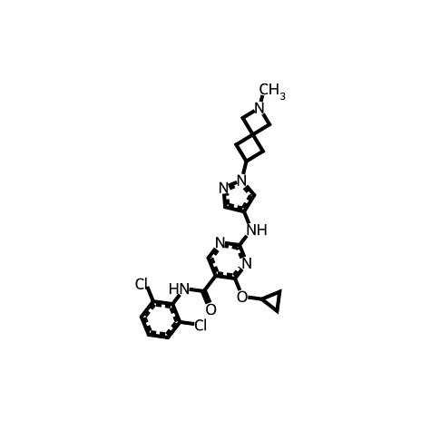 CN1CC2(CC(n3cc(Nc4ncc(C(=O)Nc5c(Cl)cccc5Cl)c(OC5CC5)n4)cn3)C2)C1